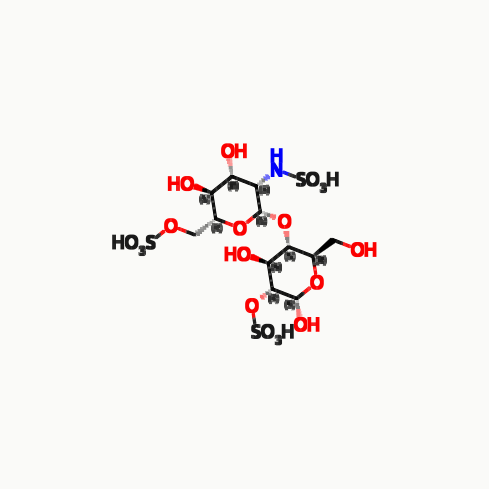 O=S(=O)(O)N[C@@H]1[C@H](O[C@H]2[C@H](O)[C@@H](OS(=O)(=O)O)[C@@H](O)O[C@@H]2CO)O[C@H](COS(=O)(=O)O)[C@@H](O)[C@@H]1O